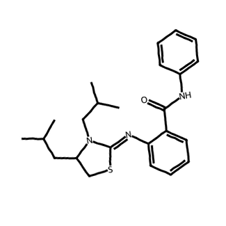 CC(C)CC1CSC(=Nc2ccccc2C(=O)Nc2ccccc2)N1CC(C)C